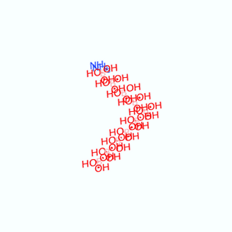 N.N.OB(O)O.OB(O)O.OB(O)O.OB(O)O.OB(O)O.OB(O)O.OB(O)O.OB(O)O.OB(O)O.OB(O)O